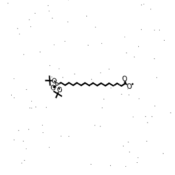 COC(=O)CCCCCCCCCCCCCCCCP(=O)(OC(C)(C)C)OC(C)(C)C